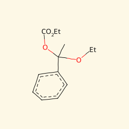 CCOC(=O)OC(C)(OCC)c1ccccc1